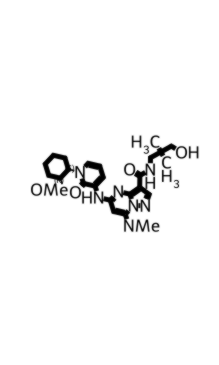 CNc1cc(Nc2cccn([C@H]3CCCC[C@H]3OC)c2=O)nc2c(C(=O)NCC(C)(C)CO)cnn12